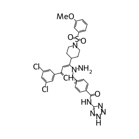 C=C(/C=C(/C1CCN(S(=O)(=O)c2cccc(OC)c2)CC1)N(N)Cc1ccc(C(=O)Nc2nn[nH]n2)cc1)c1cc(Cl)cc(Cl)c1